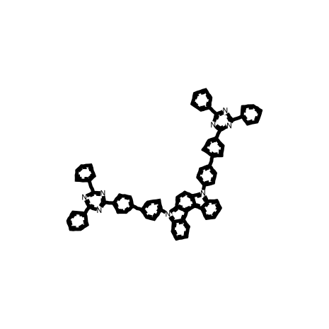 c1ccc(-c2nc(-c3ccccc3)nc(-c3ccc(-c4ccc(-n5c6ccccc6c6c7c8ccccc8n(-c8ccc(-c9ccc(-c%10nc(-c%11ccccc%11)nc(-c%11ccccc%11)n%10)cc9)cc8)c7ccc65)cc4)cc3)n2)cc1